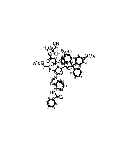 COCCOC1C(n2cnc3c(NC(=O)c4ccccc4)ncnc32)OC(COC(c2ccccc2)(c2ccc(OC)cc2)c2ccc(OC)cc2)C1P(=O)(CC(=O)OC(C)(C)CC#N)N(C(C)C)C(C)C